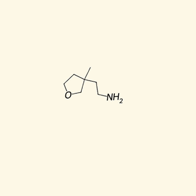 CC1(CCN)CCOC1